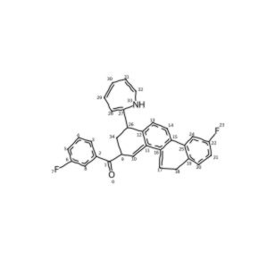 O=C(c1cccc(F)c1)C1C=c2c(ccc3c2=CCc2ccc(F)cc2-3)C(C2=CC=CC=CN2)C1